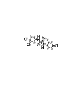 O=C(Nc1ccc(Cl)c(Cl)c1)N1[C@@H]2CC[C@H]1c1ccc(Cl)cc1C2